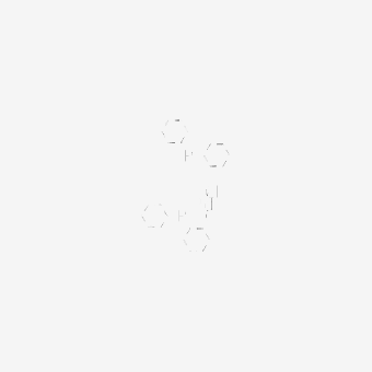 [Cl][Pd]([Cl])[CH](CCCP(c1ccccc1)c1ccccc1)P(c1ccccc1)c1ccccc1